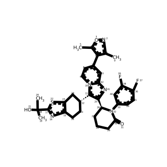 Cc1noc(C)c1-c1ccn2c([C@@H]3CCc4nc(C(C)(C)O)sc4C3)c([C@@H]3CCCC(=O)N3c3ccc(F)c(F)c3)nc2c1